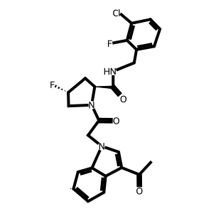 CC(=O)c1cn(CC(=O)N2C[C@H](F)C[C@H]2C(=O)NCc2cccc(Cl)c2F)c2c[c]ccc12